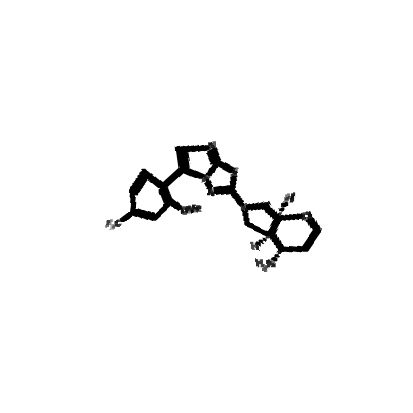 COc1cc(C(F)(F)F)ccc1-c1cnc2sc(N3C[C@@H]4[C@@H](N)CCO[C@@H]4C3)nn12